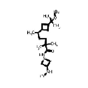 CC(C)NC1CN(NC(=O)C(C)(C)CCC(C)C2CC(C(C)(C)OC(C)(C)C)C2)C1